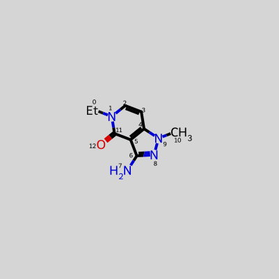 CCn1ccc2c(c(N)nn2C)c1=O